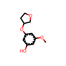 COc1cc(O)cc(OC2CCOC2)c1